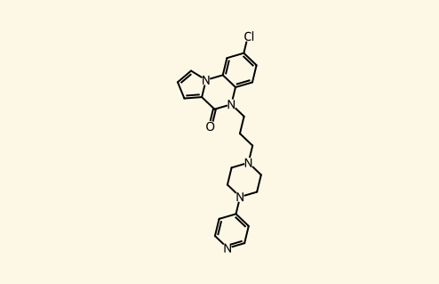 O=c1c2cccn2c2cc(Cl)ccc2n1CCCN1CCN(c2ccncc2)CC1